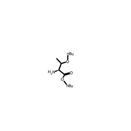 CCCCOC(=O)[C@@H](N)C(C)OCCCC